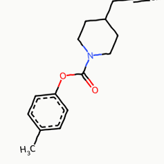 C#CCC1CCN(C(=O)Oc2ccc(C)cc2)CC1